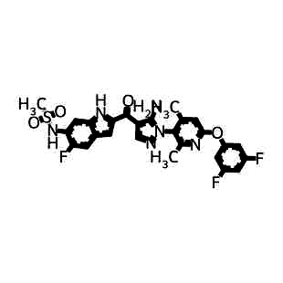 Cc1cc(Oc2cc(F)cc(F)c2)nc(C)c1-n1ncc(C(=O)c2cc3cc(F)c(NS(C)(=O)=O)cc3[nH]2)c1N